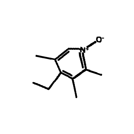 CCc1c(C)c[n+]([O-])c(C)c1C